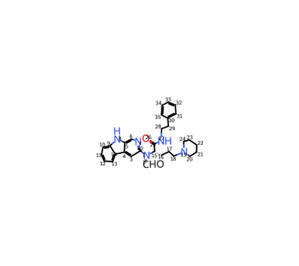 O=CN(c1cc2c(cn1)[nH]c1ccccc12)[C@@H](CCCN1CCCCC1)C(=O)NCCc1ccccc1